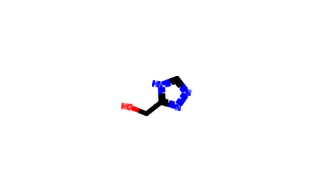 OCc1nnc[nH]1